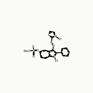 CCn1c(-c2ccccc2)c(N=Nc2scc[n+]2CC)c2ccccc21.COS(=O)(=O)[O-]